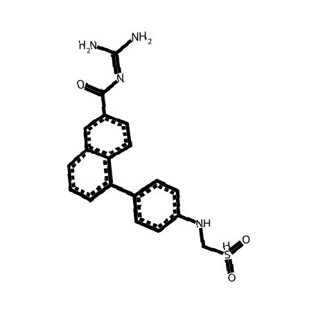 NC(N)=NC(=O)c1ccc2c(-c3ccc(NC[SH](=O)=O)cc3)cccc2c1